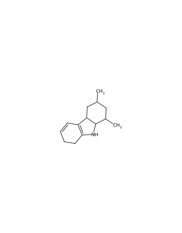 CC1CC(C)C2NC3=C(C=CCC3)C2C1